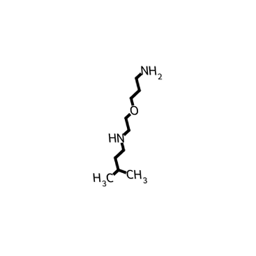 CC(C)CCNCCOCCCN